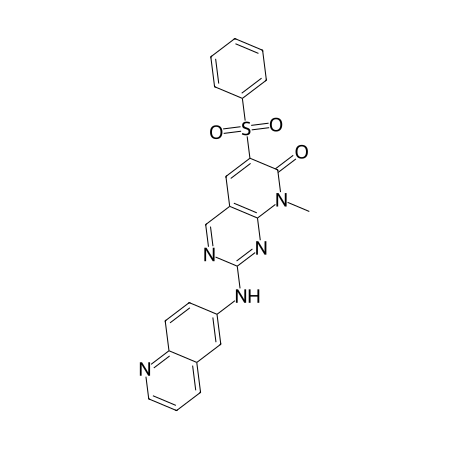 Cn1c(=O)c(S(=O)(=O)c2ccccc2)cc2cnc(Nc3ccc4ncccc4c3)nc21